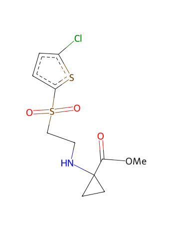 COC(=O)C1(NCCS(=O)(=O)c2ccc(Cl)s2)CC1